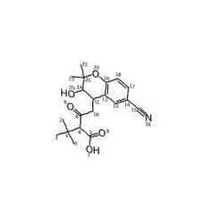 CC(C)(C)C(C(=O)O)C(=O)CC1c2cc(C#N)ccc2OC(C)(C)C1O